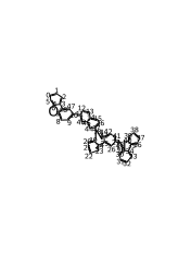 c1ccc2c(c1)oc1ccc(-c3ccc4ccc(-n5c6ccccc6c6cc(-n7c8ccccc8c8ccccc87)ccc65)cc4c3)cc12